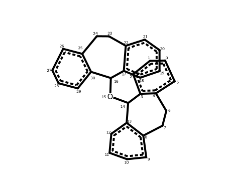 c1ccc2c(c1)CCc1ccccc1C2OC1c2ccccc2CCc2ccccc21